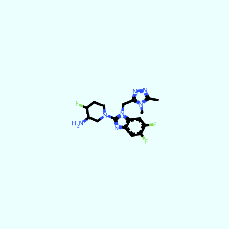 Cc1nnc(Cn2c(N3CCC(F)C(N)C3)nc3cc(F)c(F)cc32)n1C